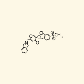 CS(=O)(=O)c1ccc(COc2coc(CN3Cc4ccccc4C3)cc2=O)c(Cl)c1